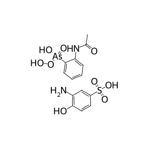 CC(=O)Nc1ccccc1[As](=O)(O)OO.Nc1cc(S(=O)(=O)O)ccc1O